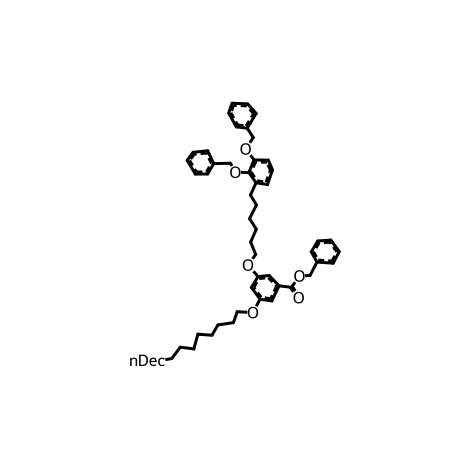 CCCCCCCCCCCCCCCCCCOc1cc(OCCCCCCc2cccc(OCc3ccccc3)c2OCc2ccccc2)cc(C(=O)OCc2ccccc2)c1